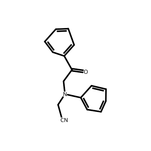 N#CCN(CC(=O)c1ccccc1)c1ccccc1